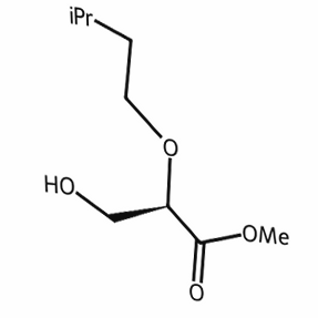 COC(=O)[C@@H](CO)OCCC(C)C